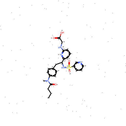 CCCC(=O)N(C)c1ccc(CC(NS(=O)(=O)c2cccnc2)c2cccc(NCC(=O)O)n2)cc1